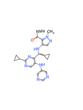 CNC(=O)c1c(NC(=C2CC2)c2nc(C3CC3)ncc2Nc2cncnc2)cnn1C